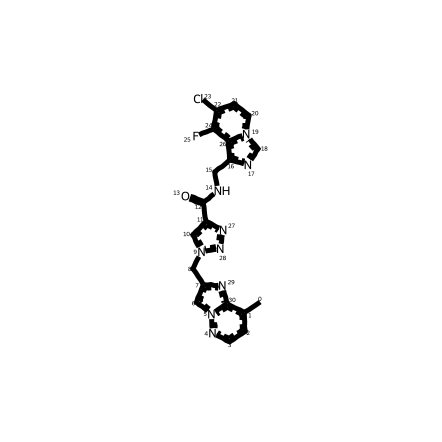 Cc1ccnn2cc(Cn3cc(C(=O)NCc4ncn5ccc(Cl)c(F)c45)nn3)nc12